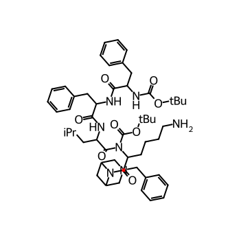 CC(C)CC(NC(=O)C(Cc1ccccc1)NC(=O)C(Cc1ccccc1)NC(=O)OC(C)(C)C)C(=O)N(C(=O)OC(C)(C)C)C(CCCCN)C(=O)N1C2CC1CN(Cc1ccccc1)C2